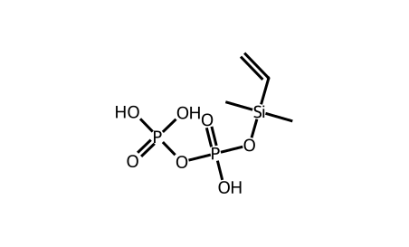 C=C[Si](C)(C)OP(=O)(O)OP(=O)(O)O